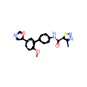 COc1ccc(-c2cnco2)cc1-c1ccc(NC(=O)c2snnc2C)cc1